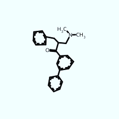 CN(C)CC(Cc1ccccc1)C(=O)c1cccc(-c2ccccc2)c1